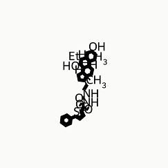 CC[C@H]1[C@@H](O)[C@@H]2[C@H](CC[C@]3(C)[C@@H](CCNC(=O)NS(=O)(=O)c4ccc(-c5ccccc5)s4)CC[C@@H]23)[C@@]2(C)CC[C@@H](O)C[C@@H]12